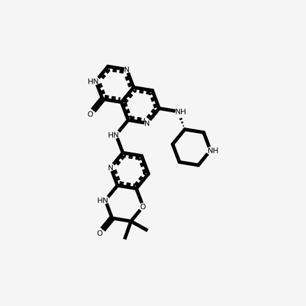 CC1(C)Oc2ccc(Nc3nc(N[C@H]4CCCNC4)cc4nc[nH]c(=O)c34)nc2NC1=O